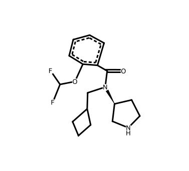 O=C(c1ccccc1OC(F)F)N(CC1CCC1)[C@H]1CCNC1